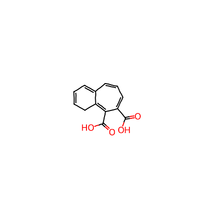 O=C(O)C1=CC=CC2=CC=CCC2=C1C(=O)O